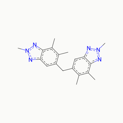 Cc1c(Cc2cc3nn(C)nc3c(C)c2C)cc2nn(C)nc2c1C